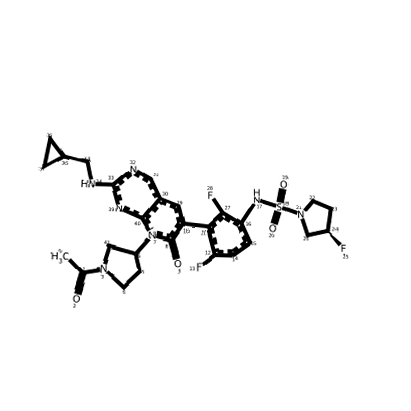 CC(=O)N1CCC(n2c(=O)c(-c3c(F)ccc(NS(=O)(=O)N4CC[C@@H](F)C4)c3F)cc3cnc(NCC4CC4)nc32)C1